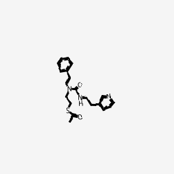 CC(=O)SCCN(C=Cc1ccccc1)C(=O)NCCc1cccnc1